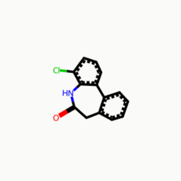 O=C1Cc2ccccc2-c2cccc(Cl)c2N1